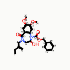 C=C(CC)CN1CC(O)N(C(=O)OCc2ccccc2)c2cc(OC)c(OC)cc2C1=O